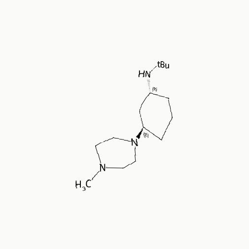 CN1CCN([C@@H]2CCC[C@@H](NC(C)(C)C)C2)CC1